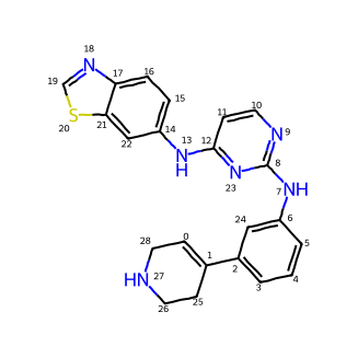 C1=C(c2cccc(Nc3nccc(Nc4ccc5ncsc5c4)n3)c2)CCNC1